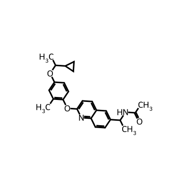 CC(=O)NC(C)c1ccc2nc(Oc3ccc(OC(C)C4CC4)cc3C)ccc2c1